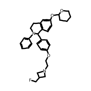 FCC1CN(CCOc2ccc(C3c4ccc(OC5CCCCO5)cc4CCN3c3ccccc3)cc2)C1